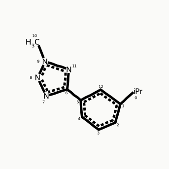 CC(C)c1cccc(-c2nnn(C)n2)c1